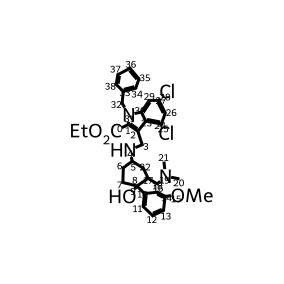 CCOC(=O)c1c(CNC2CCC(O)(c3cccc(OC)c3)C(CN(C)C)C2)c2c(Cl)cc(Cl)cc2n1Cc1ccccc1